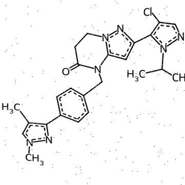 Cc1cn(C)nc1-c1ccc(CN2C(=O)CCn3nc(-c4c(Cl)cnn4C(C)C)cc32)cc1